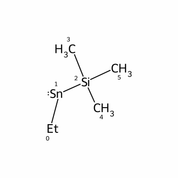 C[CH2][Sn][Si](C)(C)C